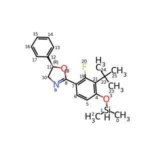 C[SiH](C)Oc1ccc(C2=NC[C@@H](c3ccccc3)O2)c(F)c1C(C)(C)C